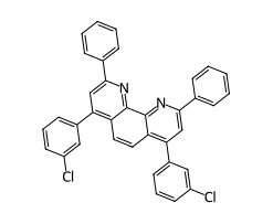 Clc1cccc(-c2cc(-c3ccccc3)nc3c2ccc2c(-c4cccc(Cl)c4)cc(-c4ccccc4)nc23)c1